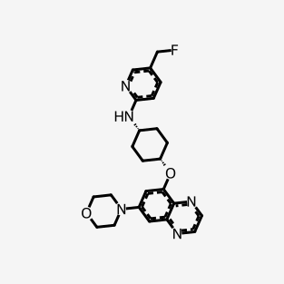 FCc1ccc(N[C@H]2CC[C@@H](Oc3cc(N4CCOCC4)cc4nccnc34)CC2)nc1